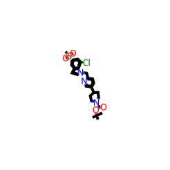 CC(C)(C)OC(=O)N1CCC(c2ccc(Cn3ccc4cc(S(C)(=O)=O)cc(Cl)c43)nc2)CC1